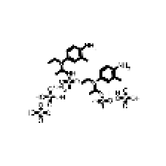 CCN(c1ccc(N)c(C)c1)C(C)NS(C)(=O)=O.CCN(c1ccc(N)c(C)c1)C(C)NS(C)(=O)=O.O.O=S(=O)(O)O.O=S(=O)(O)O.O=S(=O)(O)O